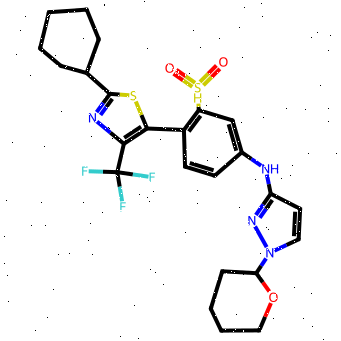 O=[SH](=O)c1cc(Nc2ccn(C3CCCCO3)n2)ccc1-c1sc(C2CCCCC2)nc1C(F)(F)F